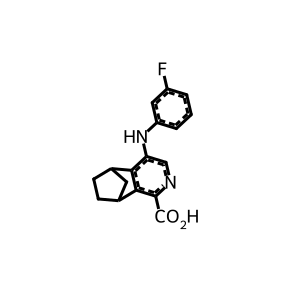 O=C(O)c1ncc(Nc2cccc(F)c2)c2c1C1CCC2C1